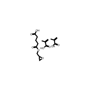 C=C(C)C(=O)O.C=C(C)C(=O)O.O=C(O)CCCC(=O)OCC1CO1